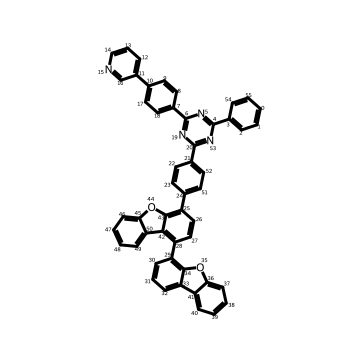 c1ccc(-c2nc(-c3ccc(-c4cccnc4)cc3)nc(-c3ccc(-c4ccc(-c5cccc6c5oc5ccccc56)c5c4oc4ccccc45)cc3)n2)cc1